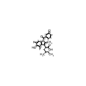 CCC(C)C[C@H](C(=O)O)c1c(C)n(C(=O)c2cccc(Cl)c2)c2cc(F)c(O)c(F)c12